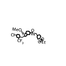 CCS(=O)(=O)c1ccc(CNC(=O)c2ccc3c(c2)cc(Cc2ccc(Cl)cc2C(F)(F)F)n3CCOC)cc1